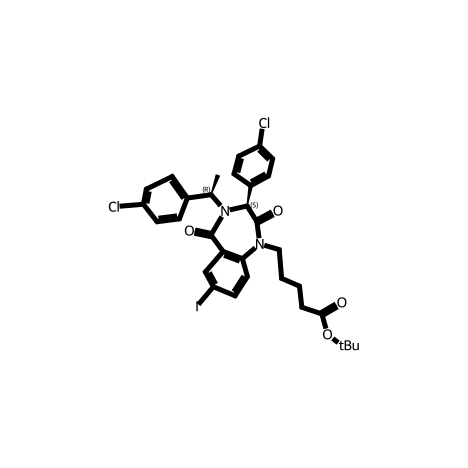 C[C@H](c1ccc(Cl)cc1)N1C(=O)c2cc(I)ccc2N(CCCCC(=O)OC(C)(C)C)C(=O)[C@@H]1c1ccc(Cl)cc1